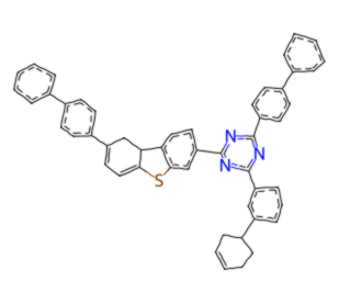 C1=CCC(c2cccc(-c3nc(-c4ccc(-c5ccccc5)cc4)nc(-c4ccc5c(c4)SC4=CC=C(c6ccc(-c7ccccc7)cc6)CC45)n3)c2)CC1